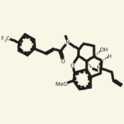 C=CCN1CC[C@]23c4c5ccc(OC)c4OC2C(N(C)C(=O)/C=C/c2ccc(C(F)(F)F)cc2)CC[C@@]3(O)[C@H]1C5